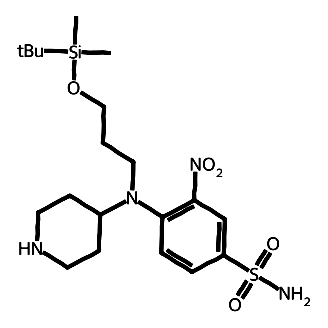 CC(C)(C)[Si](C)(C)OCCCN(c1ccc(S(N)(=O)=O)cc1[N+](=O)[O-])C1CCNCC1